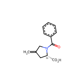 C=C1C[C@@H](C(=O)O)N(C(=O)c2ccccc2)C1